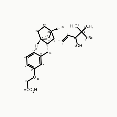 CCCCC(C)(C)C(O)/C=C/[C@@H]1[C@H](Cc2cccc(OCC(=O)O)c2)[C@@H]2CC[C@H]1O2